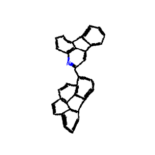 c1ccc2c(c1)-c1cccc3nc(-c4ccc5c6c4ccc4ccc7cccc-5c7c46)cc-2c13